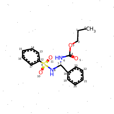 CCCOC(=O)N[C@@H](NS(=O)(=O)c1ccccc1)c1ccccc1